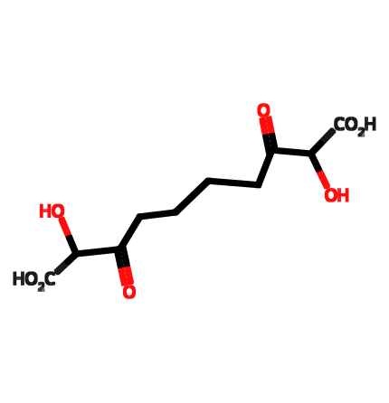 O=C(O)C(O)C(=O)CCCCC(=O)C(O)C(=O)O